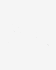 C#CCOc1ccccc1C1CC(c2csc(C3CCNCC3)n2)=NO1